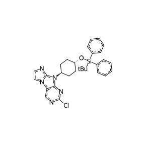 CC(C)(C)[Si](O[C@H]1CC[C@H](n2c3nc(Cl)ncc3n3ccnc32)CC1)(c1ccccc1)c1ccccc1